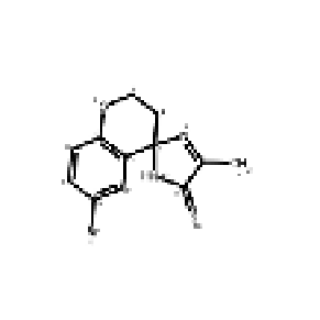 CC1=NC2(CCOc3ccc(Br)cc32)NC1=S